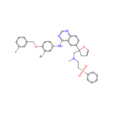 CN(CCS(=O)(=O)c1ccccc1)CC1(c2ccc3ncnc(Nc4ccc(OCc5cccc(F)c5)c(Br)c4)c3c2)CC=CO1